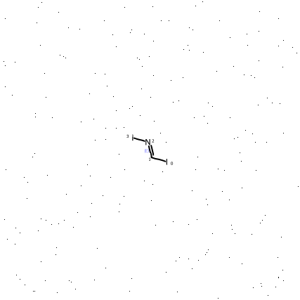 I/C=N/I